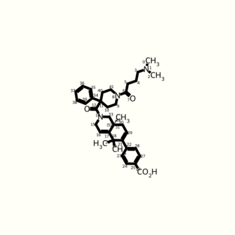 CN(C)CCCC(=O)N1CCC(C(=O)N2CC=C3C(C)(C)C(c4ccc(C(=O)O)cc4)=CC[C@]3(C)C2)(c2ccccc2)CC1